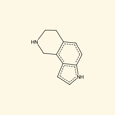 c1cc2c3c(ccc2[nH]1)CCNC3